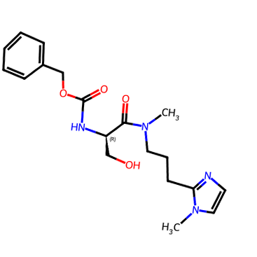 CN(CCCc1nccn1C)C(=O)[C@@H](CO)NC(=O)OCc1ccccc1